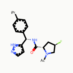 CC(=O)N1C[C@H](F)C[C@H]1C(=O)N[C@@H](c1ccc(C(C)C)cc1)c1ccn[nH]1